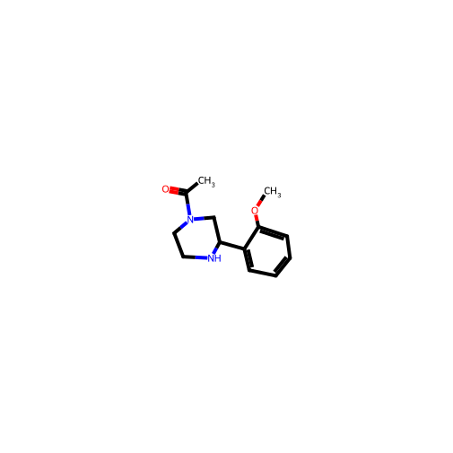 COc1ccccc1C1CN(C(C)=O)CCN1